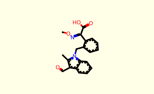 CON=C(C(=O)O)c1ccccc1Cn1c(C)c(C=O)c2ccccc21